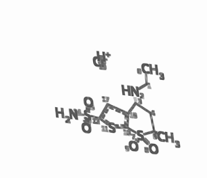 CCN[C@@H]1C[C@@H](C)S(=O)(=O)c2sc(S(N)(=O)=O)cc21.[Cl-].[H+]